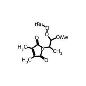 COC(OOC(C)(C)C)C(C)N1C(=O)C(C)=C(C)C1=O